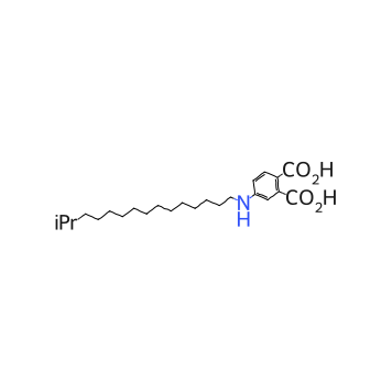 CC(C)CCCCCCCCCCCCCNc1ccc(C(=O)O)c(C(=O)O)c1